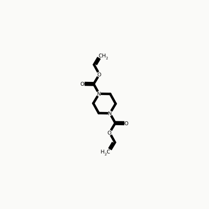 C=COC(=O)N1CCN(C(=O)OC=C)CC1